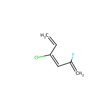 C=C/C(Cl)=C\C(=C)F